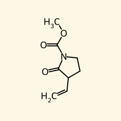 C=CC1CCN(C(=O)OC)C1=O